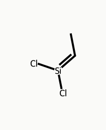 CC=[Si](Cl)Cl